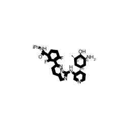 CC(C)NC(=O)c1ccc(F)c(-c2ccc3cnc(Nc4cnccc4[C@H]4C[C@@H](N)[C@@H](O)[C@@H](C)C4)n3n2)c1F